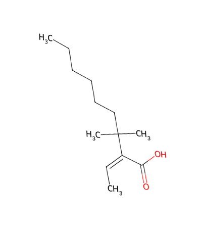 CC=C(C(=O)O)C(C)(C)CCCCCC